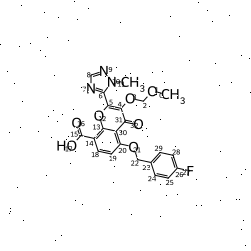 COCOc1c(-c2ncnn2C)oc2c(C(=O)O)ccc(OCc3ccc(F)cc3)c2c1=O